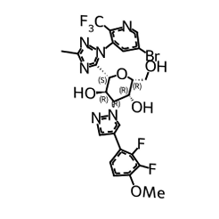 COc1ccc(-c2cnn([C@H]3[C@@H](O)[C@@H](CO)O[C@@H](c4nc(C)nn4-c4cc(Br)cnc4C(F)(F)F)[C@@H]3O)c2)c(F)c1F